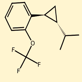 CC(C)[C@H]1C[C@@H]1c1ccccc1OC(F)(F)F